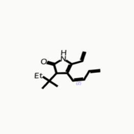 C=C/C=C\C1=C(C=C)NC(=O)C1C(C)(C)CC